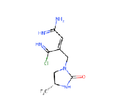 N=C(N)/C=C(/CN1C[C@@H](C(F)(F)F)NC1=O)C(=N)Cl